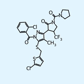 Cc1c(C2C(=O)N(C(=O)N3CCCC3)CC2C(F)(F)F)nn(C(=O)c2ccccc2Cl)c1SCc1ccc(Cl)s1